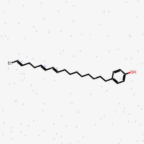 CC/C=C/CC/C=C/C=C/CCCCCCCCc1ccc(O)cc1